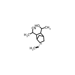 C=C[C@H]1CC2CC1C(C(C)C#N)C2C(C)O